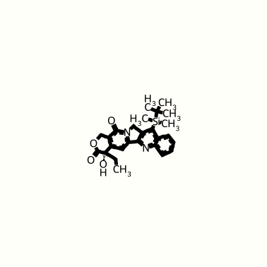 CC[C@@]1(O)C(=O)OCc2c1cc1n(c2=O)Cc2c-1nc1ccccc1c2[Si](C)(C)C(C)(C)C